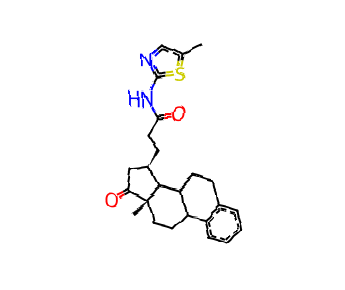 Cc1cnc(NC(=O)CC[C@@H]2CC(=O)[C@@]3(C)CCC4c5ccccc5CCC4C23)s1